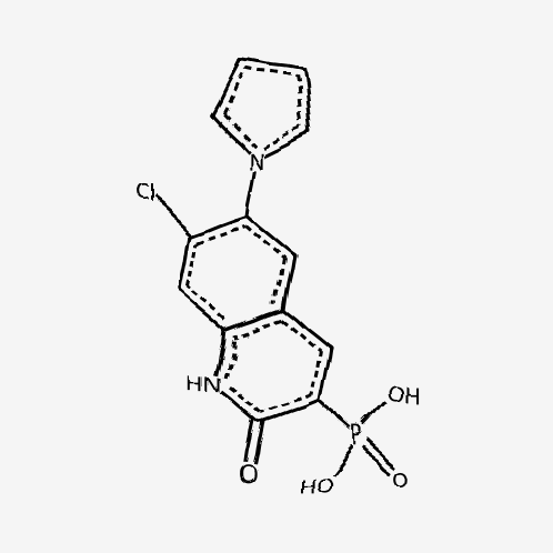 O=c1[nH]c2cc(Cl)c(-n3cccc3)cc2cc1P(=O)(O)O